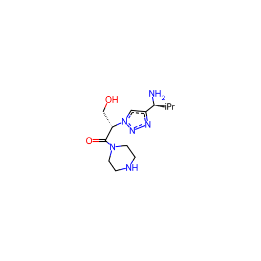 CC(C)[C@H](N)c1cn([C@@H](CO)C(=O)N2CCNCC2)nn1